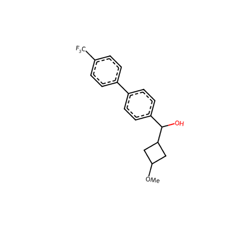 COC1CC(C(O)c2ccc(-c3ccc(C(F)(F)F)cc3)cc2)C1